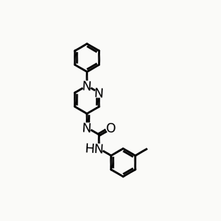 Cc1cccc(NC(=O)/N=c2/ccn(-c3ccccc3)nc2)c1